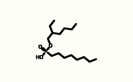 CCCCCCCCP(=O)(O)OCC(CC)CCCC